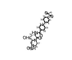 CS(=O)(=O)c1ccc(-c2ccc(C(=O)N[C@@H](CC=O)C(=O)N3CCN([SH]=O)CC3)cc2)cc1